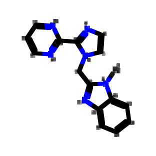 CCn1c(Cn2ccnc2-c2ncccn2)nc2ccccc21